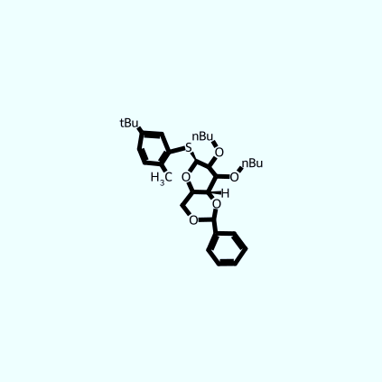 CCCCOC1C(OCCCC)[C@H](Sc2cc(C(C)(C)C)ccc2C)OC2COC(c3ccccc3)O[C@H]21